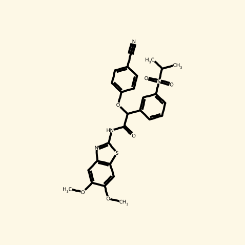 COc1cc2nc(NC(=O)C(Oc3ccc(C#N)cc3)c3cccc(S(=O)(=O)C(C)C)c3)sc2cc1OC